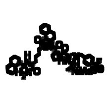 CN[C@@H](C)C(=O)N[C@@H](CNCc1ccc(S(=O)(=O)F)cc1)C(=O)N1CCC[C@H]1C(=O)N[C@@H]1CCc2ccccc2[C@@H]1C(=O)NCCCC[C@H](NC(=O)[C@@H]1CCCc2ccccc21)C(N)=O